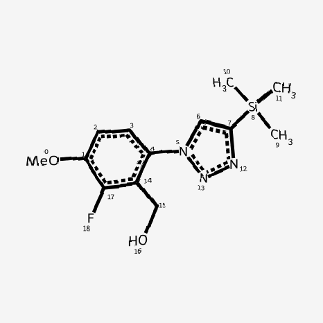 COc1ccc(-n2cc([Si](C)(C)C)nn2)c(CO)c1F